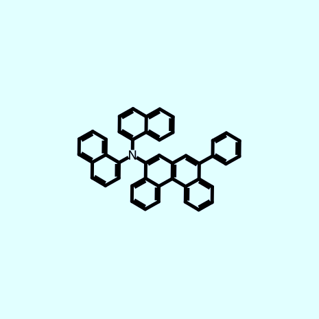 c1ccc(-c2cc3cc(N(c4cccc5ccccc45)c4cccc5ccccc45)c4ccccc4c3c3ccccc23)cc1